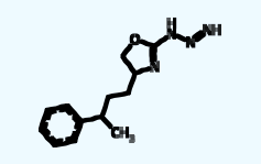 CC(CCC1COC(NN=N)=N1)c1ccccc1